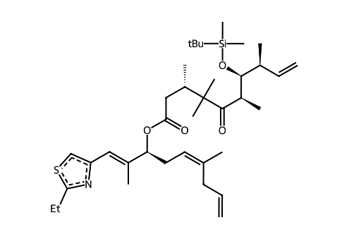 C=CC/C(C)=C\C[C@H](OC(=O)C[C@H](C)C(C)(C)C(=O)[C@H](C)[C@@H](O[Si](C)(C)C(C)(C)C)[C@@H](C)C=C)/C(C)=C/c1csc(CC)n1